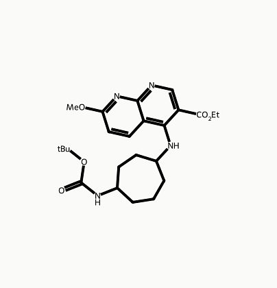 CCOC(=O)c1cnc2nc(OC)ccc2c1NC1CCCC(NC(=O)OC(C)(C)C)CC1